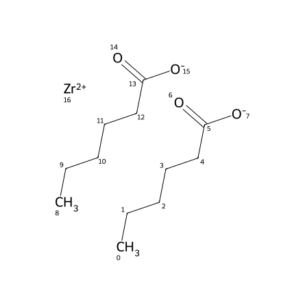 CCCCCC(=O)[O-].CCCCCC(=O)[O-].[Zr+2]